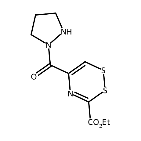 CCOC(=O)C1=NC(C(=O)N2CCCN2)=CSS1